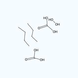 CCCC.CCCC.O=C(O)O.O=C(O)O.OO